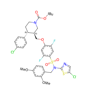 COc1ccc(CN(c2ncc(Cl)s2)S(=O)(=O)c2cc(F)c(OC[C@@H]3CN(C(=O)OC(C)(C)C)CC[C@H]3c3ccc(Cl)cc3)cc2F)c(OC)c1